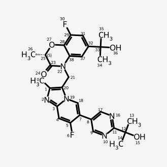 Cc1nc2cc(F)c(-c3cnc(C(C)(C)O)nc3)cn2c1CN1C(=O)[C@H](C)Oc2c(F)cc(C(C)(C)O)cc21